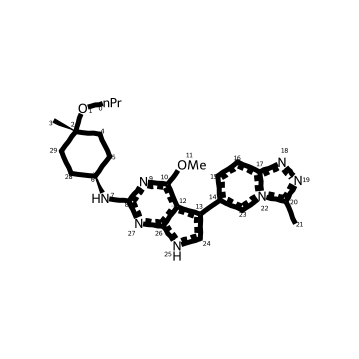 CCCO[C@]1(C)CC[C@@H](Nc2nc(OC)c3c(-c4ccc5nnc(C)n5c4)c[nH]c3n2)CC1